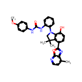 Cc1ccnc2oc(-c3ccc(O)c4c3C(C)(C)CN4c3ccccc3NC(=O)Nc3ccc(OC(F)(F)F)cc3)nc12